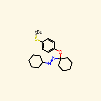 CC(C)(C)Sc1ccc(OC2(/N=N/C3CCCCC3)CCCCC2)cc1